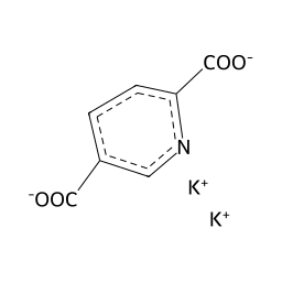 O=C([O-])c1ccc(C(=O)[O-])nc1.[K+].[K+]